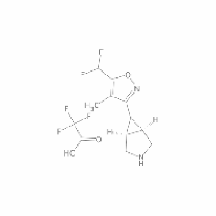 Cc1c(C2[C@H]3CNC[C@@H]23)noc1C(F)F.O=C(O)C(F)(F)F